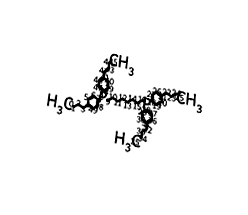 CCCCc1ccc(P(CCCCCCCCP(c2ccc(CCCC)cc2)c2ccc(CCCC)cc2)c2ccc(CCCC)cc2)cc1